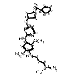 COc1cc(NCCCN(C)C)c(N)cc1Nc1nccc(OC2CN(C(=O)c3ccccc3)C2)n1